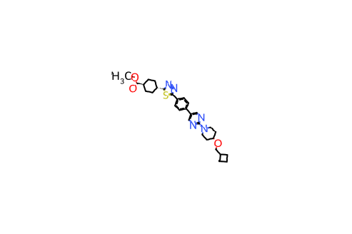 COC(=O)[C@H]1CC[C@H](c2nnc(-c3ccc(-c4cnc(N5CCC(OCC6CCC6)CC5)nc4)cc3)s2)CC1